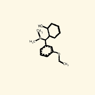 CCOc1cccc(C(C2CCCCC2O)N(C)C)c1